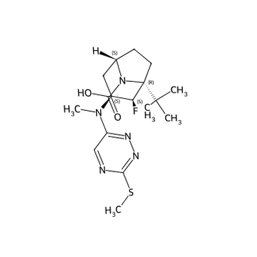 CSc1ncc(N(C)[C@H]2C[C@@H]3CC[C@@](C(C)(C)C)([C@H]2F)N3C(=O)O)nn1